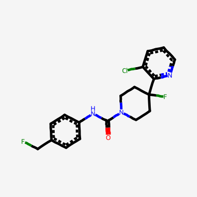 O=C(Nc1ccc(CF)cc1)N1CCC(F)(c2ncccc2Cl)CC1